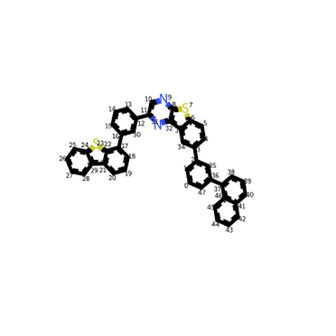 c1cc(-c2ccc3sc4ncc(-c5cccc(-c6cccc7c6sc6ccccc67)c5)nc4c3c2)cc(-c2cccc3ccccc23)c1